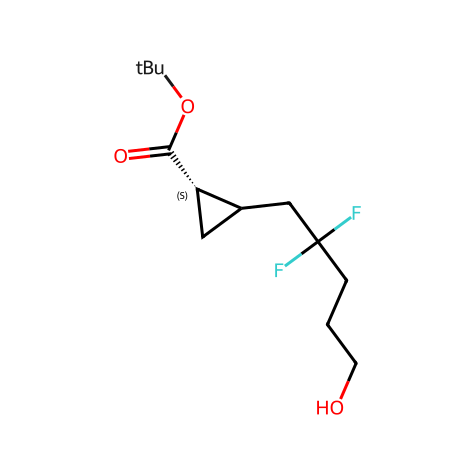 CC(C)(C)OC(=O)[C@H]1CC1CC(F)(F)CCCO